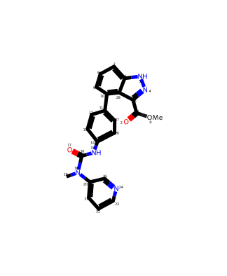 COC(=O)c1n[nH]c2cccc(-c3ccc(NC(=O)N(C)c4cccnc4)cc3)c12